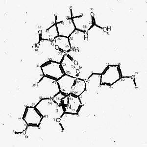 COc1ccc(CN(Cc2ccc(OC)cc2)S(=O)(=O)c2c(S(=O)(=O)NC(C(NC(=O)O)C(C)(C)C)C(NC(=O)O)C(C)(C)C)ccc(I)c2-c2nnnn2Cc2ccc(OC)cc2)cc1